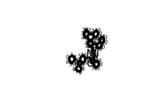 c1ccc(-n2c3ccccc3c3cc(-c4nc(-n5c6ccc7ccccc7c6c6c7c8ccccc8c8ccccc8c7ccc65)nc5c4oc4ccccc45)ccc32)cc1